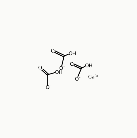 O=C([O-])O.O=C([O-])O.O=C([O-])O.[Ga+3]